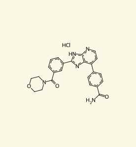 Cl.NC(=O)c1ccc(-c2ccnc3[nH]c(-c4cccc(C(=O)N5CCOCC5)c4)nc23)cc1